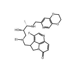 CCN(CC1Cn2c(=O)ccc3ncc(F)c1c32)C[C@@H](O)[C@H](C)NCc1cc2c(cn1)OCCO2